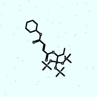 CCC(OC(=O)C=CC(=O)OC1CCCCC1)[Si](O[Si](C)(C)C)(O[Si](C)(C)C)O[Si](C)(C)C